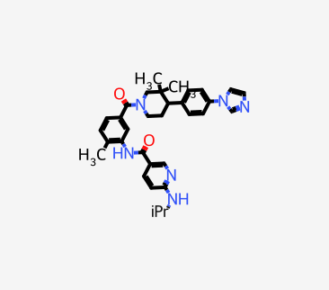 Cc1ccc(C(=O)N2CCC(c3ccc(-n4ccnc4)cc3)C(C)(C)C2)cc1NC(=O)c1ccc(NC(C)C)nc1